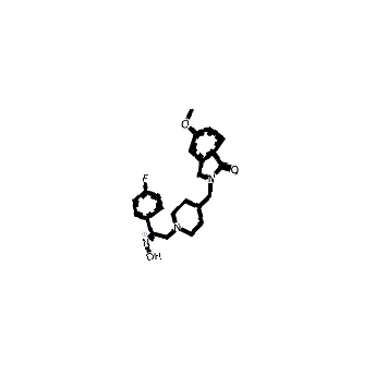 COc1ccc2c(c1)CN(CC1CCN(C/C(=N\O)c3ccc(F)cc3)CC1)C2=O